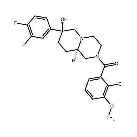 COc1cccc(C(=O)N2CCN3C[C@@](O)(c4ccc(F)c(F)c4)CC[C@@H]3C2)c1Cl